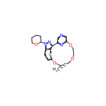 C[C@@H]1CCOCCOc2cncc(n2)-c2nn(C3CCCCO3)c3ccc(cc23)O1